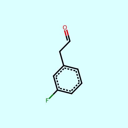 O=CCc1cccc(F)c1